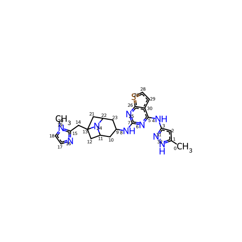 Cc1cc(Nc2nc(NC3CC4CC5(Cc6nccn6C)CC(C3)N45)nc3sccc23)n[nH]1